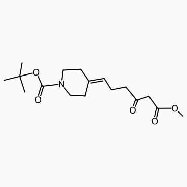 COC(=O)CC(=O)CCC=C1CCN(C(=O)OC(C)(C)C)CC1